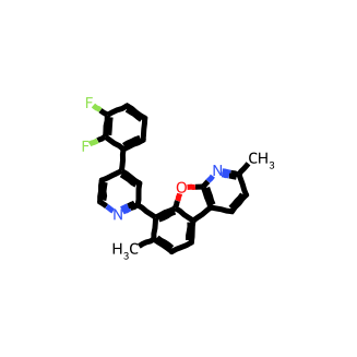 Cc1ccc2c(n1)oc1c(-c3cc(-c4cccc(F)c4F)ccn3)c(C)ccc12